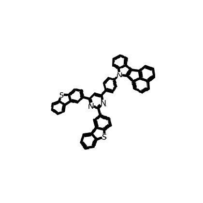 c1cc2c3c(cccc3c1)-c1c-2c2ccccc2n1-c1ccc(-c2cc(-c3ccc4sc5ccccc5c4c3)nc(-c3ccc4sc5ccccc5c4c3)n2)cc1